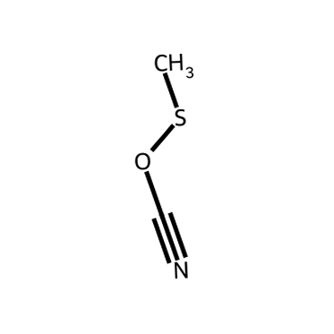 CSOC#N